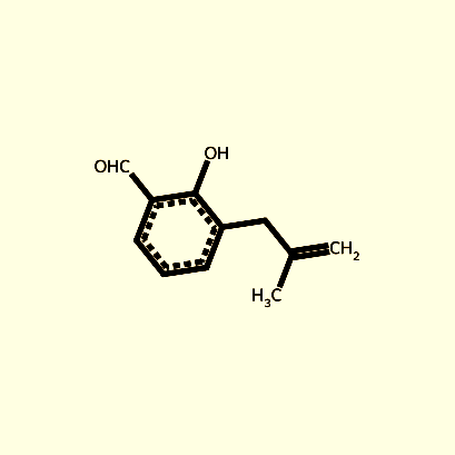 C=C(C)Cc1cccc(C=O)c1O